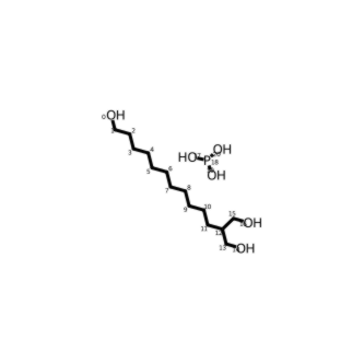 OCCCCCCCCCCCC(CO)CO.OP(O)O